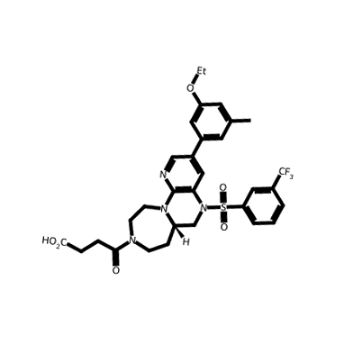 CCOc1cc(C)cc(-c2cnc3c(c2)N(S(=O)(=O)c2cccc(C(F)(F)F)c2)C[C@@H]2CCN(C(=O)CCC(=O)O)CCN32)c1